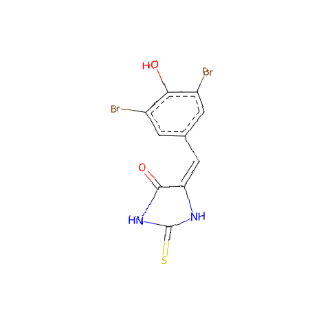 O=C1NC(=S)NC1=Cc1cc(Br)c(O)c(Br)c1